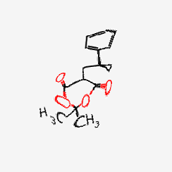 CC1(C)OC(=O)C(CC2(c3ccccc3)CC2)C(=O)O1